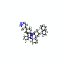 c1ccc2c(c1)B1c3ccccc3-c3cc(-c4cccc5ccccc45)ccc3N1c1ccc(-c3ccncc3)cc1-2